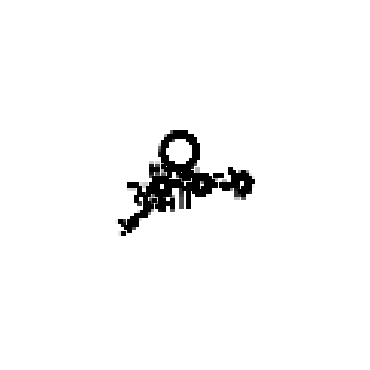 CCOc1cc2c(cc1NC(=O)CCCN(C)C)C(Nc1ccc(OCc3ncccc3C)cc1Cl)NC1(CCCCCCCCCCC1)N2